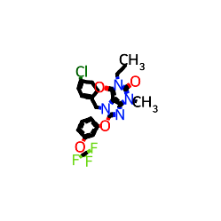 CCCn1c(=O)c2c(nc(Oc3cccc(OC(F)(F)F)c3)n2CC2=CC=C(Cl)CC2)n(C)c1=O